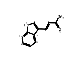 NC(=O)/C=C/c1c[nH]c2ncccc12